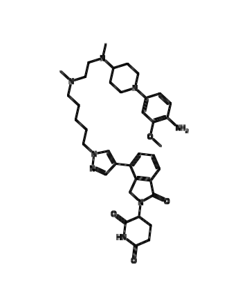 COc1cc(N2CCC(N(C)CCN(C)CCCCCn3cc(-c4cccc5c4CN(C4CCC(=O)NC4=O)C5=O)cn3)CC2)ccc1N